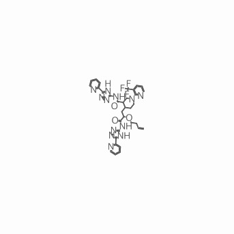 C=CCCOC(CC1CCN(c2ncccc2C(F)(F)F)CC1C(=O)Nc1nnc(-c2ccccn2)[nH]1)C(=O)Nc1nnc(-c2ccccn2)[nH]1